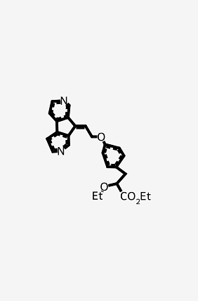 CCOC(=O)C(Cc1ccc(OCC=C2c3cnccc3-c3ccncc32)cc1)OCC